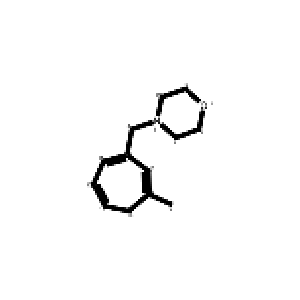 CC1=CC(CN2CCOCC2)=CC=CC1